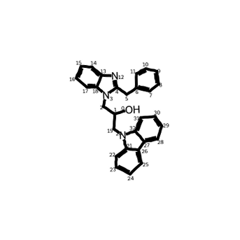 OC(Cn1c(Cc2ccccc2)nc2ccccc21)Cn1c2ccccc2c2ccccc21